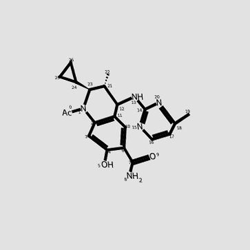 CC(=O)N1c2cc(O)c(C(N)=O)cc2C(Nc2nccc(C)n2)[C@@H](C)[C@@H]1C1CC1